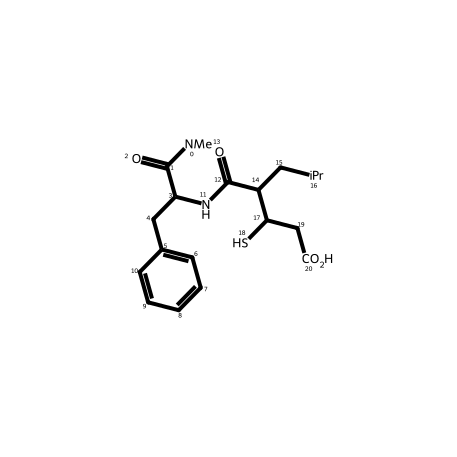 CNC(=O)C(Cc1ccccc1)NC(=O)C(CC(C)C)C(S)CC(=O)O